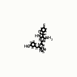 CC1(c2ccc(F)cc2)C(=O)Nc2nc(-c3cn4ncnc4c(Cc4cccc(O)c4)n3)nc(N)c21